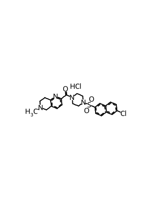 CN1CCc2nc(C(=O)N3CCN(S(=O)(=O)c4ccc5cc(Cl)ccc5c4)CC3)ccc2C1.Cl